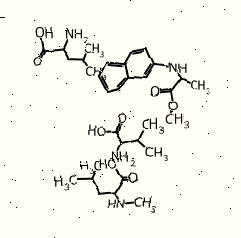 CC(C)C(N)C(=O)O.CC(C)CC(N)C(=O)O.CNC(CC(C)C)C(=O)O.COC(=O)C(C)Nc1ccc2ccccc2c1